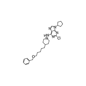 Clc1nc(NN2CCC(CCCCCOCc3ccccc3)CC2)c2ncn(C3CCCC3)c2n1